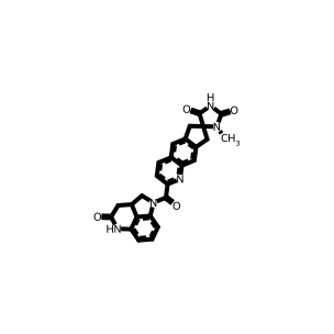 CN1C(=O)NC(=O)C12Cc1cc3ccc(C(=O)N4CC5CC(=O)Nc6cccc4c65)nc3cc1C2